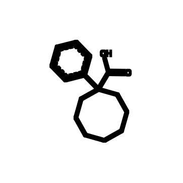 O=C(O)C1(c2ccccc2)CCCCCCC1